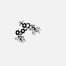 CC(C)(N)CC(=O)N[C@@H]1CCc2cc(C(F)(F)F)ccc2N(Cc2ccc(-c3ccccc3S(=O)(=O)NC(C)(C)C)cc2)C1=O